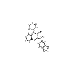 C/C(C(=O)N(c1ccccn1)C1CCCCC1)=C(/C)c1ccc2c(c1)OCO2